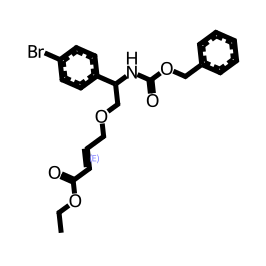 CCOC(=O)/C=C/COCC(NC(=O)OCc1ccccc1)c1ccc(Br)cc1